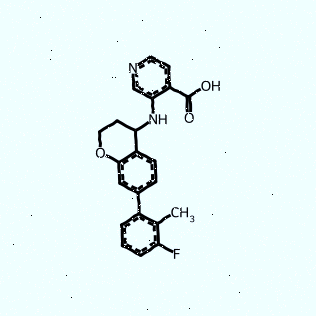 Cc1c(F)cccc1-c1ccc2c(c1)OCCC2Nc1cnccc1C(=O)O